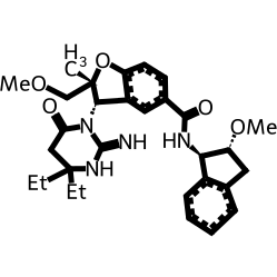 CCC1(CC)CC(=O)N([C@H]2c3cc(C(=O)N[C@@H]4c5ccccc5C[C@H]4OC)ccc3O[C@@]2(C)COC)C(=N)N1